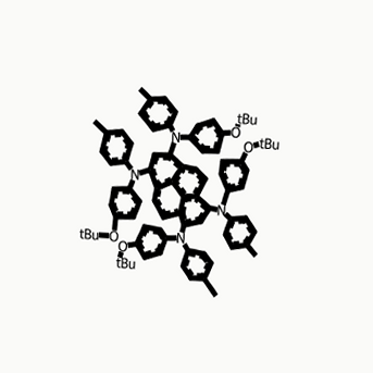 Cc1ccc(N(c2ccc(OC(C)(C)C)cc2)c2cc(N(c3ccc(C)cc3)c3ccc(OC(C)(C)C)cc3)c3ccc4c(N(c5ccc(C)cc5)c5ccc(OC(C)(C)C)cc5)cc(N(c5ccc(C)cc5)c5ccc(OC(C)(C)C)cc5)c5ccc2c3c54)cc1